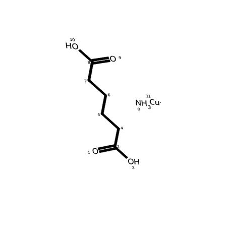 N.O=C(O)CCCCC(=O)O.[Cu]